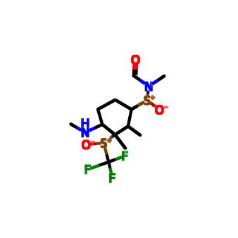 CNC1CCC([S+]([O-])N(C)C=O)C(C)C1(C)[S+]([O-])C(F)(F)F